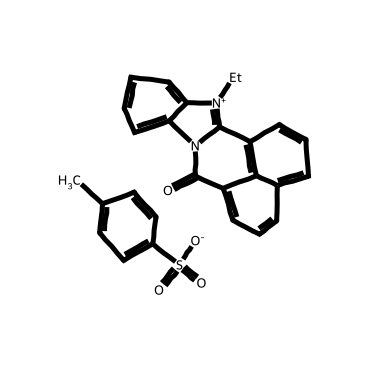 CC[n+]1c2ccccc2n2c(=O)c3cccc4cccc(c43)c21.Cc1ccc(S(=O)(=O)[O-])cc1